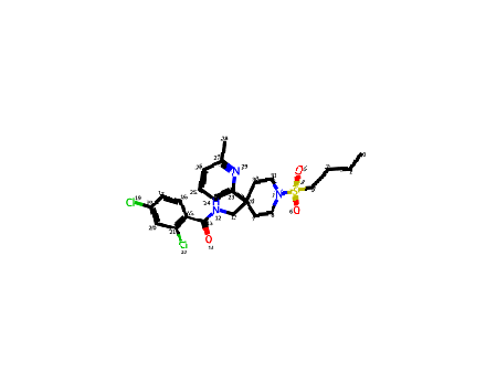 CCCCS(=O)(=O)N1CCC(CNC(=O)c2ccc(Cl)cc2Cl)(c2cccc(C)n2)CC1